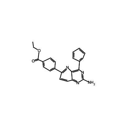 CCOC(=O)c1ccc(-c2ccc3nc(N)nc(-c4ccccc4)c3n2)cc1